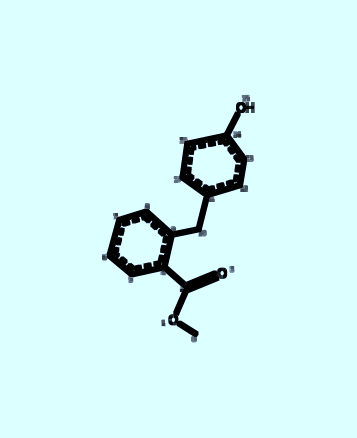 COC(=O)c1ccccc1Cc1ccc(O)cc1